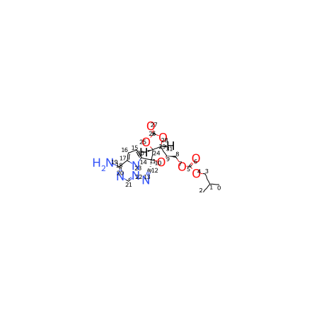 CC(C)COC(=O)OC[C@H]1O[C@@](C#N)(c2ccc3c(N)ncnn23)[C@@H]2OC(=O)O[C@@H]21